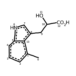 Cc1cccc2[nH]cc(CC(O)C(=O)O)c12